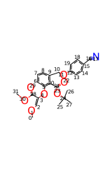 COC=C(Oc1cccc(COc2ccc(C#N)cc2)c1C(=O)OC(C)(C)C)C(=O)OC